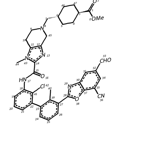 COC(=O)[C@H]1CC[C@H](CN2CCc3c(nc(C(=O)Nc4cccc(-c5cccc(-c6nc7cc(C=O)cc(C#N)c7o6)c5C)c4Cl)n3C)C2)CC1